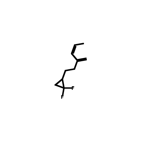 C=C(/C=C\C)CCC1CC1(F)F